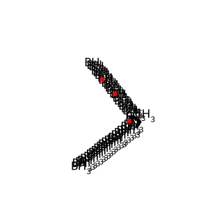 B.B.B.B.B.B.B.B.B.B.B.B.B.B.B.B.B.B.B.B.B.B.B.B.B.B.B.B.B.B.B.B.B.B.B.B.B.B.B.B.B.B.B.CC12CCP(CC1)S2(=O)=O